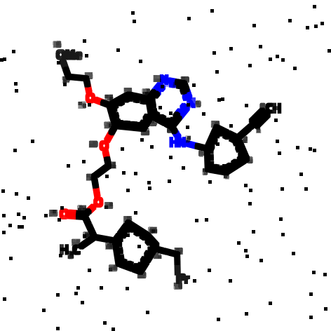 C#Cc1cccc(Nc2ncnc3cc(OCCOC)c(OCCOC(=O)C(C)c4ccc(CC(C)C)cc4)cc23)c1